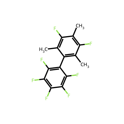 Cc1c(F)c(C)c(-c2c(F)c(F)c(F)c(F)c2F)c(C)c1F